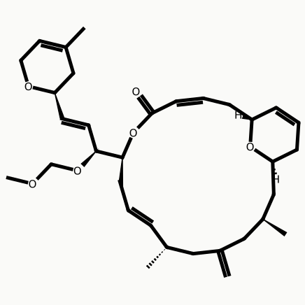 C=C1C[C@H](C)C[C@@H]2CC=C[C@@H](C/C=C\C(=O)O[C@H]([C@H](/C=C/[C@@H]3CC(C)=CCO3)OCOC)C/C=C/[C@@H](C)C1)O2